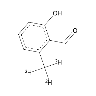 [2H]C([2H])([2H])c1cccc(O)c1C=O